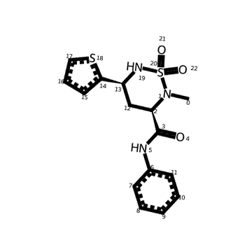 CN1[C@@H](C(=O)Nc2ccccc2)C[C@@H](c2cccs2)NS1(=O)=O